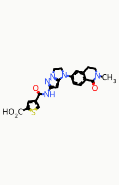 CN1CCc2cc(N3CCn4nc(NC(=O)c5csc(C(=O)O)c5)cc43)ccc2C1=O